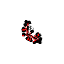 C[C@@H]([C@H](OCc1ccccc1)[C@H](C)COC(c1ccccc1)(c1ccccc1)c1ccccc1)[C@@H](COC[C@H](OCc1ccccc1)[C@H](OCc1ccccc1)[C@@H](OCc1ccccc1)[C@H](COC[C@@H](OCc1ccccc1)[C@@H](OCc1ccccc1)[C@H](OCc1ccccc1)[C@@H](COC(c1ccccc1)(c1ccccc1)c1ccccc1)OCc1ccccc1)OCc1ccccc1)OCc1ccccc1